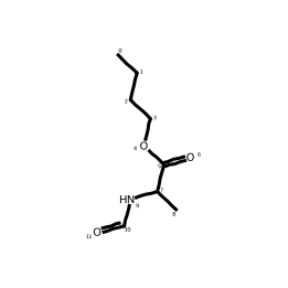 CCCCOC(=O)C(C)NC=O